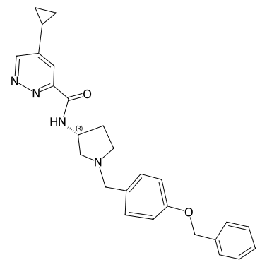 O=C(N[C@@H]1CCN(Cc2ccc(OCc3ccccc3)cc2)C1)c1cc(C2CC2)cnn1